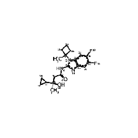 CC1(n2c(NC(=O)C[C@@](C)(O)C3CC3)nc3cc(F)c(F)cc32)CCC1